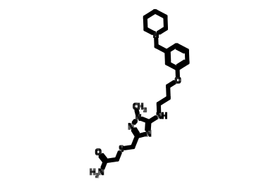 Cn1nc(CSCC(N)=O)nc1NCCCOc1cccc(CN2CCCCC2)c1